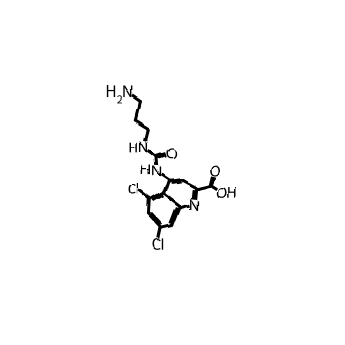 NCCCNC(=O)Nc1cc(C(=O)O)nc2cc(Cl)cc(Cl)c12